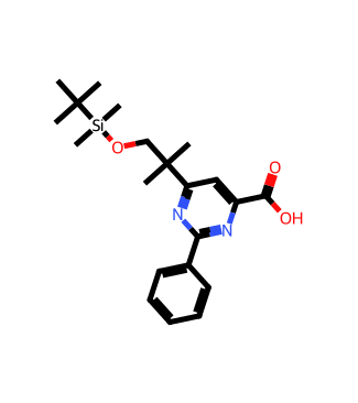 CC(C)(CO[Si](C)(C)C(C)(C)C)c1cc(C(=O)O)nc(-c2ccccc2)n1